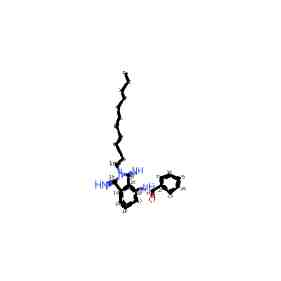 CCCCCCCCCCCN1C(=N)c2cccc(NC(=O)c3ccccc3)c2C1=N